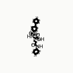 O=C(CC[C@H](NS(=O)(=O)c1ccc(-c2ccccc2)cc1)C(=O)O)Nc1ccccc1